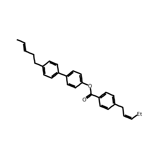 C/C=C/CCc1ccc(-c2ccc(OC(=O)c3ccc(C/C=C\CC)cc3)cc2)cc1